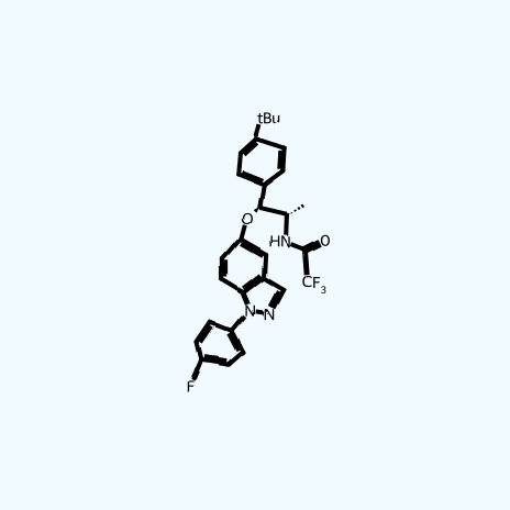 C[C@H](NC(=O)C(F)(F)F)[C@H](Oc1ccc2c(cnn2-c2ccc(F)cc2)c1)c1ccc(C(C)(C)C)cc1